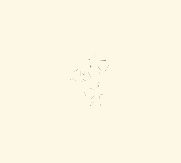 CCc1c(C(=O)O)ccc(-c2cc(C(=O)c3c(F)ccc(F)c3F)n3ccccc23)c1F